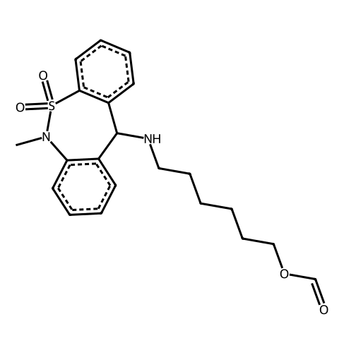 CN1c2ccccc2C(NCCCCCCOC=O)c2ccccc2S1(=O)=O